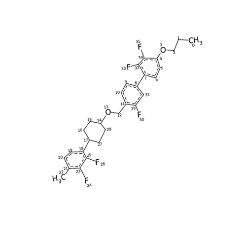 CCCOc1ccc(-c2ccc(COC3CCC(c4ccc(C)c(F)c4F)CC3)c(F)c2)c(F)c1F